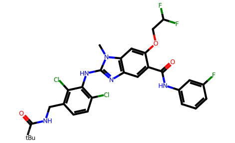 Cn1c(Nc2c(Cl)ccc(CNC(=O)C(C)(C)C)c2Cl)nc2cc(C(=O)Nc3cccc(F)c3)c(OCC(F)F)cc21